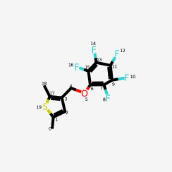 Cc1cc(COc2c(F)c(F)c(F)c(F)c2F)c(C)s1